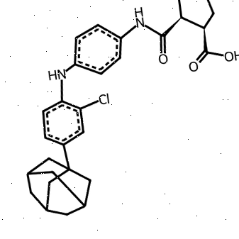 O=C(Nc1ccc(Nc2ccc(C34CC5CC(CC(C5)C3)C4)cc2Cl)cc1)[C@H]1CCC[C@H]1C(=O)O